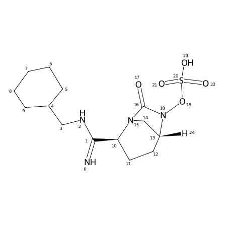 N=C(NCC1CCCCC1)[C@@H]1CC[C@@H]2CN1C(=O)N2OS(=O)(=O)O